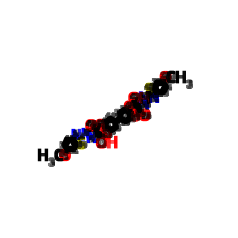 COc1ccc2nc(/N=N/C3=C(O)OC4(CCC(C5CCC6(CC5)OC(=O)C(/N=N/c5nc7ccc(OC)cc7s5)=C(O)O6)CC4)OC3=O)sc2c1